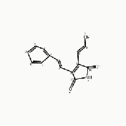 N#CC=CC1=C(C=Cc2ccccc2)C(=O)NC1=O